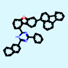 c1ccc(C2=NC(c3cccc4oc5cc(-c6ccc7c8c(cccc68)-c6ccccc6-7)ccc5c34)NC(c3ccc4ccccc4c3)=N2)cc1